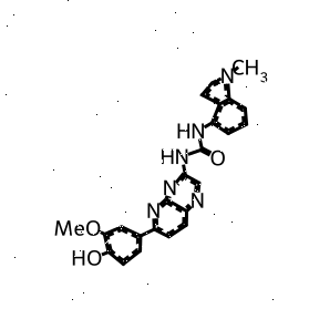 COc1cc(-c2ccc3ncc(NC(=O)Nc4cccc5c4ccn5C)nc3n2)ccc1O